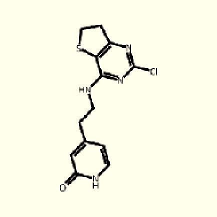 O=c1cc(CCNc2nc(Cl)nc3c2SCC3)cc[nH]1